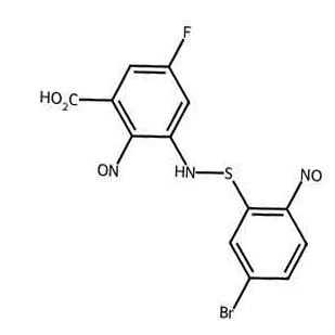 O=Nc1ccc(Br)cc1SNc1cc(F)cc(C(=O)O)c1N=O